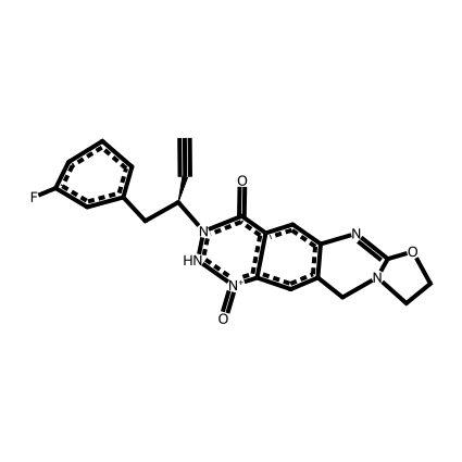 C#C[C@H](Cc1cccc(F)c1)n1[nH][n+](=O)c2cc3c(cc2c1=O)N=C1OCCN1C3